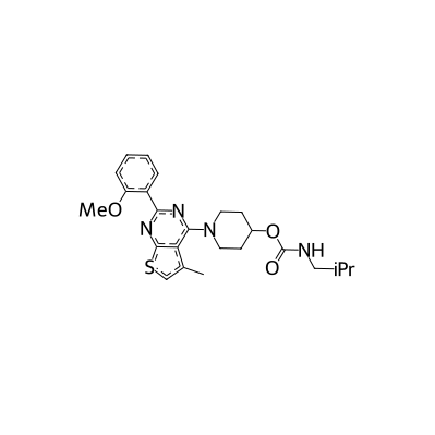 COc1ccccc1-c1nc(N2CCC(OC(=O)NCC(C)C)CC2)c2c(C)csc2n1